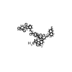 Cc1nn(C)c(C)c1-c1c(Cl)ccc2c(CCCOc3cccc4cc(F)ccc34)c(C(=O)O)n(CCN3CCN(C(=O)CCc4cccc5c4CN(C4CCC(=O)NC4=O)C5=O)CC3)c12